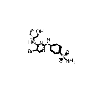 CC(C)C[C@H](CO)Nc1nc(Nc2ccc(S(N)(=O)=O)cc2)ncc1Br